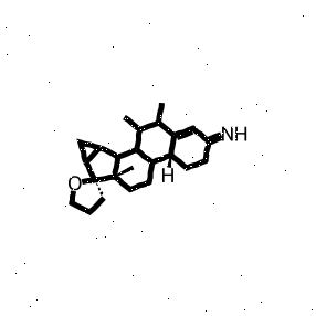 CC1C2=CC(=N)CC[C@@H]2C2CC[C@@]3(C)C(C4CC4[C@@]34CCCO4)C2C1C